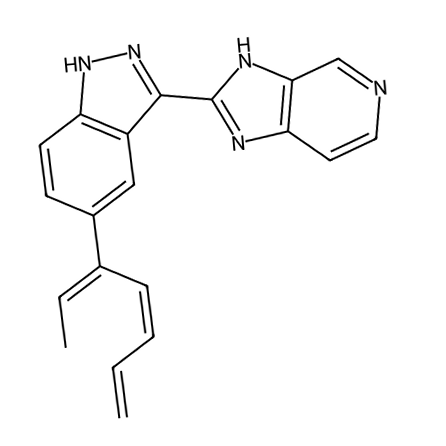 C=C/C=C\C(=C/C)c1ccc2[nH]nc(-c3nc4ccncc4[nH]3)c2c1